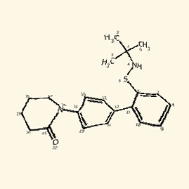 CC(C)(C)NSc1ccccc1-c1ccc(N2CCCCC2=O)cc1